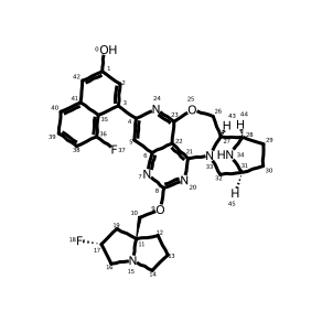 Oc1cc(-c2cc3nc(OC[C@@]45CCCN4C[C@H](F)C5)nc4c3c(n2)OC[C@H]2[C@H]3CC[C@@H](CN42)N3)c2c(F)cccc2c1